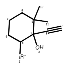 C#CC1(O)C(C(C)C)CCCC1(C)C